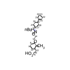 CCCC/C(=N\OCCOc1cccc(CC(=O)O)c1C)c1ccc(-c2ccccc2)cc1